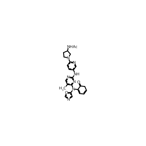 CC(=O)NC1CCN(c2ccc(Nc3ncc(C)c(N(C4=CC=CCC4=O)c4cnco4)n3)cn2)C1